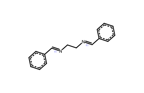 C(=N\CC/N=C/c1ccccc1)/c1ccccc1